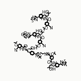 CC(C)Oc1ccc(C(=O)N[C@H](CCO)Cc2ccc(-c3cn(CCCN)c(C(C)(C)C)n3)cc2)cc1C#N.CC(O)C[C@H](Cc1ccc(-c2cn3c(n2)S(=O)(=O)CC3)cc1)NC(=O)c1ccc(OC(C)C)c(C#N)c1.CC(O)C[C@H](Cc1ccc(-c2cn3c(n2)SCC3)cc1)NC(=O)c1ccc(OC(C)C)c(C#N)c1.Cc1csc2nc(-c3ccc(C[C@@H](CC(C)O)NC(=O)c4ccc(OC(C)C)c(C#N)c4)cc3)cn12